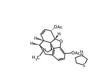 C1CSCN1.CC(=O)Oc1ccc2c3c1O[C@H]1[C@@H](OC(C)=O)C=C[C@H]4[C@@H](C2)N(C)CC[C@@]341